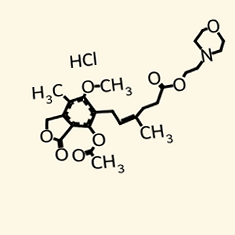 COc1c(C)c2c(c(OC(C)=O)c1CC=C(C)CCC(=O)OCCN1CCOCC1)C(=O)OC2.Cl